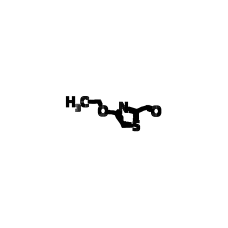 CCOc1csc(C=O)n1